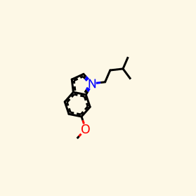 COc1ccc2ccn(CCC(C)C)c2c1